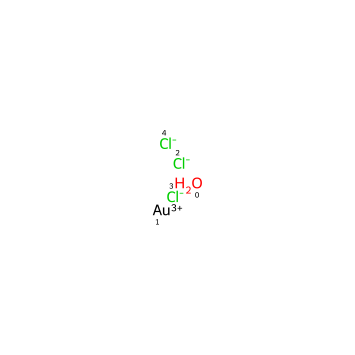 O.[Au+3].[Cl-].[Cl-].[Cl-]